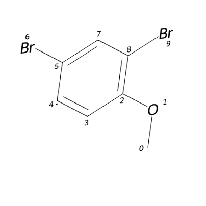 COc1c[c]c(Br)cc1Br